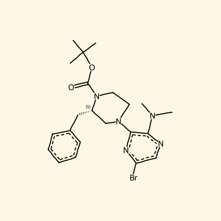 CN(C)c1ncc(Br)nc1N1CCN(C(=O)OC(C)(C)C)[C@@H](Cc2ccccc2)C1